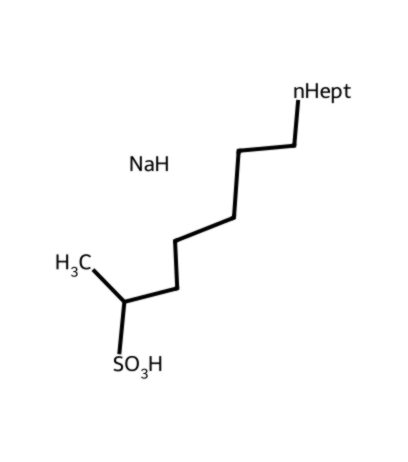 CCCCCCCCCCCCC(C)S(=O)(=O)O.[NaH]